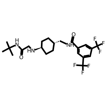 CC(C)(C)NC(=O)CN[C@H]1CC[C@H](CNC(=O)c2cc(C(F)(F)F)cc(C(F)(F)F)c2)CC1